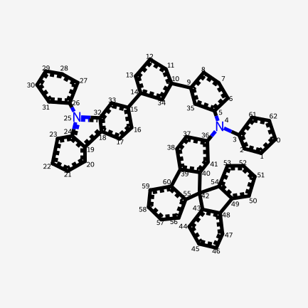 c1ccc(N(c2cccc(-c3cccc(-c4ccc5c6ccccc6n(-c6ccccc6)c5c4)c3)c2)c2ccc3c(c2)C2(c4ccccc4-c4ccccc42)c2ccccc2-3)cc1